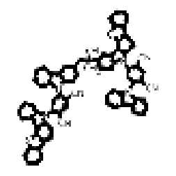 CC(C)(Cc1ccc2c(c1)c1ccccc1n2-c1cc(-n2c3ccccc3c3c4sc5ccccc5c4ccc32)c(C#N)cc1C#N)c1ccc2c(c1)c1c3oc4ccccc4c3ccc1n2-c1cc(-n2c3ccccc3c3ccccc32)c(C#N)cc1C#N